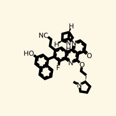 CN1CCC[C@H]1CCOc1nc2c(F)c(-c3cc(O)cc4ccccc34)c(CCC#N)cc2c2c1c(=O)ccn2C1[C@H]2CN[C@@H]1C2